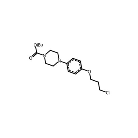 CC(C)COC(=O)N1CCN(c2ccc(OCCCCl)cc2)CC1